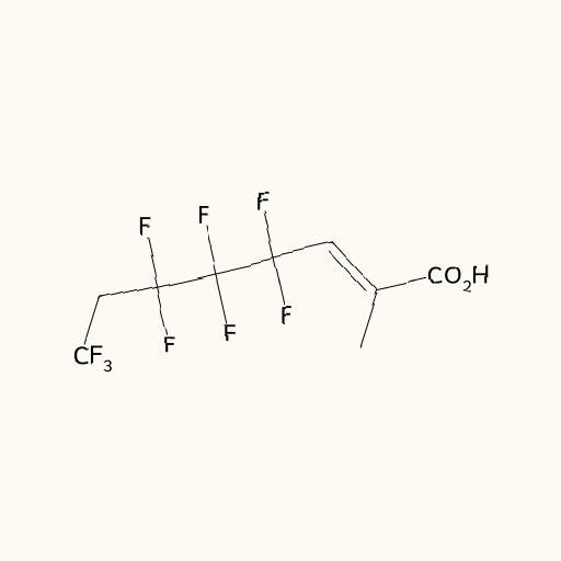 CC(=CC(F)(F)C(F)(F)C(F)(F)CC(F)(F)F)C(=O)O